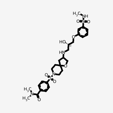 CNS(=O)(=O)c1cccc(OC[C@@H](O)CNC2COC3(CCN(S(=O)(=O)c4ccc(C(=O)N(C)C)cc4)CC3)C2)c1